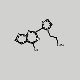 COCCn1ccnc1-c1nc(S)c2ccsc2n1